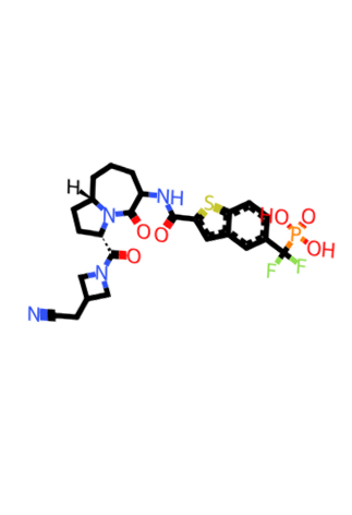 N#CCC1CN(C(=O)[C@@H]2CC[C@@H]3CCCC(NC(=O)c4cc5cc(C(F)(F)P(=O)(O)O)ccc5s4)C(=O)N32)C1